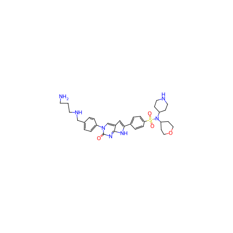 NCCCNCc1ccc(-n2cc3cc(-c4ccc(S(=O)(=O)N(C5CCNCC5)C5CCOCC5)cc4)[nH]c3nc2=O)cc1